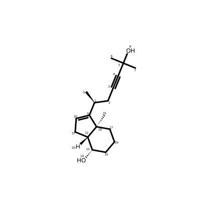 C[C@@H](CC#CC(C)(C)O)C1=CC[C@H]2[C@@H](O)CCC[C@]12C